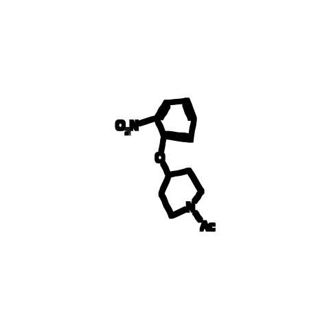 [CH2]C(=O)N1CCC(Oc2ccccc2[N+](=O)[O-])CC1